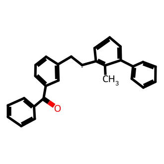 Cc1c([CH]Cc2cccc(C(=O)c3ccccc3)c2)cccc1-c1ccccc1